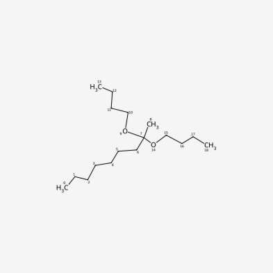 CCCCCCCC(C)(OCCCC)OCCCC